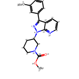 COc1cccc(-c2nn([C@@H]3CCCN(C(=O)OC(C)(C)C)C3)c3ncccc23)c1